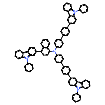 c1ccc(-n2c3ccccc3c3cc(-c4ccc(-c5ccc(N(c6ccc(-c7ccc(-c8ccc9c(c8)c8ccccc8n9-c8ccccc8)cc7)cc6)c6ccc(-c7ccc8c9ccccc9n(-c9ccccc9)c8c7)c7ccccc67)cc5)cc4)ccc32)cc1